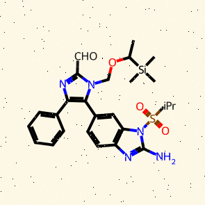 CC(OCn1c(C=O)nc(-c2ccccc2)c1-c1ccc2nc(N)n(S(=O)(=O)C(C)C)c2c1)[Si](C)(C)C